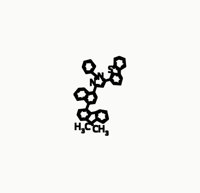 CC1(C)c2ccccc2-c2c(-c3ccc(-c4cc(-c5cccc6c5sc5ccccc56)nc(-c5ccccc5)n4)c4ccccc34)cccc21